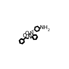 N[C@H]1CC[C@H](Cn2c(=O)n(CC(=O)c3ccccc3)c3ccccc32)CC1